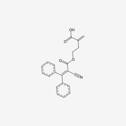 C=C(CCOC(=O)C(C#N)=C(c1ccccc1)c1ccccc1)C(=O)O